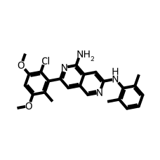 COc1cc(OC)c(Cl)c(-c2cc3cnc(Nc4c(C)cccc4C)cc3c(N)n2)c1C